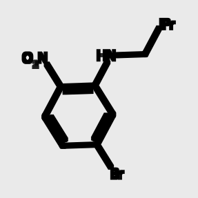 CC(C)CNc1cc(Br)ccc1[N+](=O)[O-]